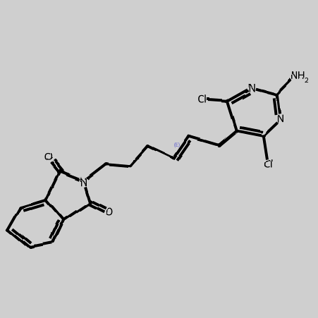 Nc1nc(Cl)c(C/C=C/CCCN2C(=O)c3ccccc3C2=O)c(Cl)n1